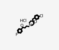 Cl.O=C(CCCN1CCC2(CC1)Cc1ccc(Cl)cc1O2)c1ccc(F)cc1